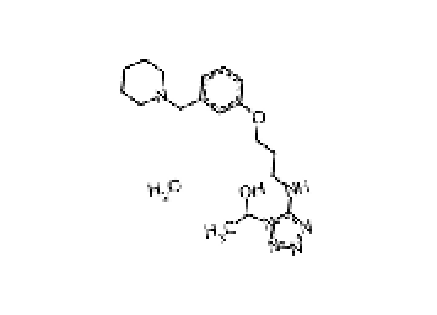 CC(O)n1nnnc1NCCCOc1cccc(CN2CCCCC2)c1.O